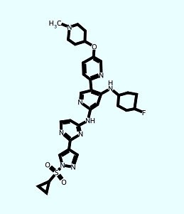 CN1CCC(Oc2ccc(-c3cnc(Nc4ccnc(-c5cnn(S(=O)(=O)C6CC6)c5)n4)cc3NC3CCC(F)CC3)nc2)CC1